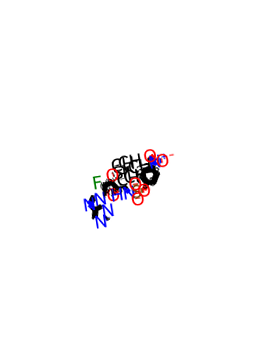 CC(C)(C)[Si](C)(C)O[C@H]1[C@@H](F)[C@H](n2cnc3cncnc32)O[C@@H]1CNS(=O)(=O)Oc1ccc([N+](=O)[O-])cc1